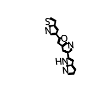 c1cnc2[nH]c(-c3cnc4oc(-c5cnc6sccc6c5)cc4c3)cc2c1